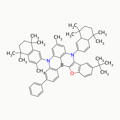 Cc1cc2c3c(c1)N(c1cc4c(cc1C)C(C)(C)CCC4(C)C)c1cc(-c4ccccc4)ccc1B3c1oc3ccc(C(C)(C)C)cc3c1N2C1=CC2C(C=C1)C(C)(C)CCC2(C)C